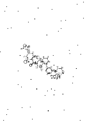 O=C(O)c1cc(F)c(-c2cccc3c2OCN(C(=O)c2c(Cl)cc(C4COC4)cc2Cl)C3)cc1N1CCOCC1